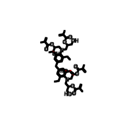 C=C(C)C(=O)OC(CO)CN(CC(CO)OC(=O)C(=C)C)c1c(CC)cc(Cc2cc(CC)c(N(CC(CO)OC(=O)C(=C)C)CC(CO)OC(=O)C(=C)C)c(CC)c2)cc1CC